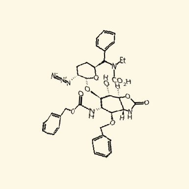 CCN(C(=O)O)C(c1ccccc1)[C@@H]1CC[C@@H](N=[N+]=[N-])[C@@H](O[C@H]2[C@H](O)[C@H]3OC(=O)N[C@@H]3[C@@H](OCc3ccccc3)[C@@H]2NC(=O)OCc2ccccc2)O1